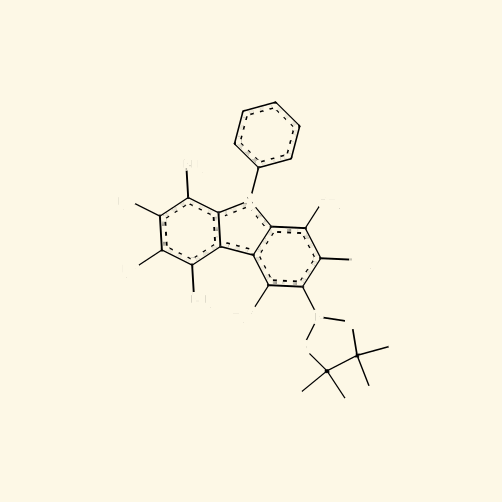 Bc1c(B)c(B)c2c(c1B)c1c(B)c(B3OC(C)(C)C(C)(C)O3)c(B)c(B)c1n2-c1ccccc1